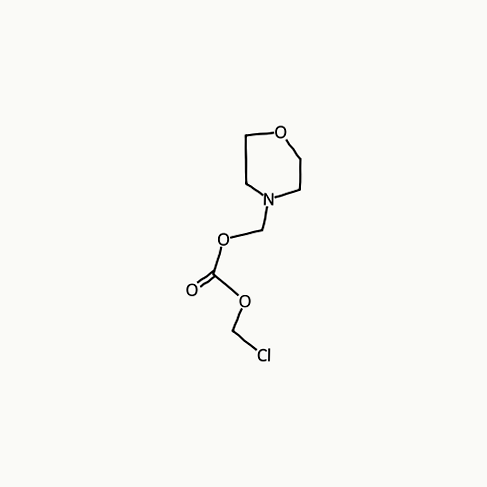 O=C(OCCl)OCN1CCOCC1